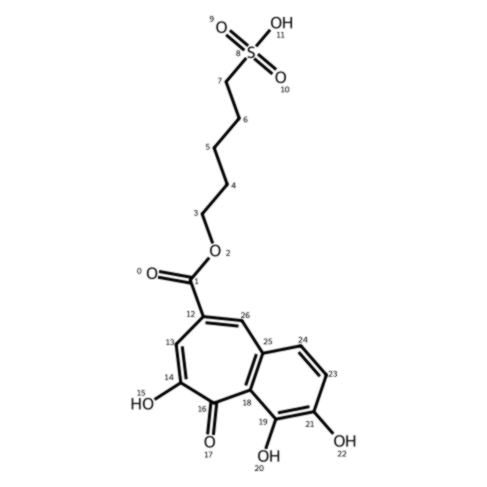 O=C(OCCCCCS(=O)(=O)O)c1cc(O)c(=O)c2c(O)c(O)ccc2c1